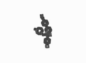 CN1CCCN(Cc2c(-c3ccc(Cl)cc3)nc3ccc(-c4ccc(C#N)cc4)cn23)CC1